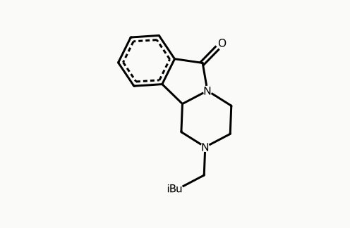 CCC(C)CN1CCN2C(=O)c3ccccc3C2C1